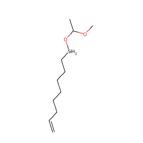 C=CCCCCCC[SiH2]OC(C)OC